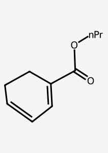 C[CH]COC(=O)C1=CC=CCC1